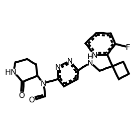 O=CN(c1ccc(NCC2(c3ncccc3F)CCC2)nn1)C1CCCNC1=O